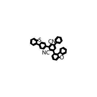 N#Cc1c(-c2ccccc2)cc(-c2cccc3oc4ccccc4c23)c(C#N)c1-c1ccc2c(c1)sc1ccccc12